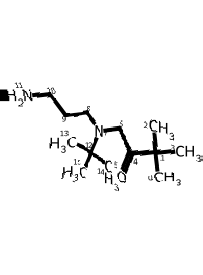 CC(C)(C)C(=O)CN(CCCN)C(C)(C)C